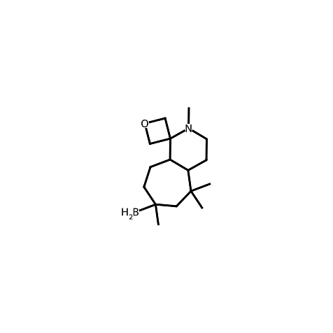 BC1(C)CCC2C(CCN(C)C23COC3)C(C)(C)C1